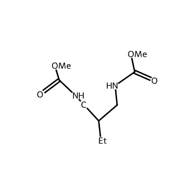 CCC(CNC(=O)OC)CNC(=O)OC